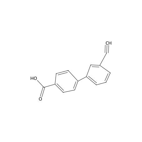 C#Cc1cccc(-c2ccc(C(=O)O)cc2)c1